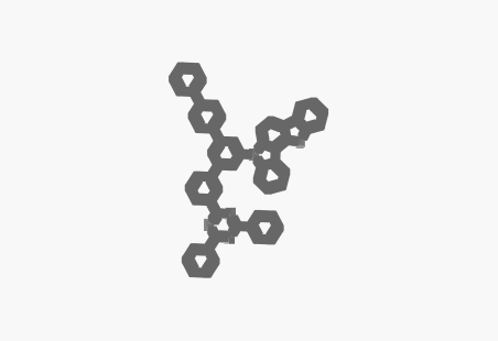 c1ccc(-c2ccc(-c3cc(-c4cccc(-c5nc(-c6ccccc6)nc(-c6ccccc6)n5)c4)cc(-n4c5ccccc5c5c6sc7ccccc7c6ccc54)c3)cc2)cc1